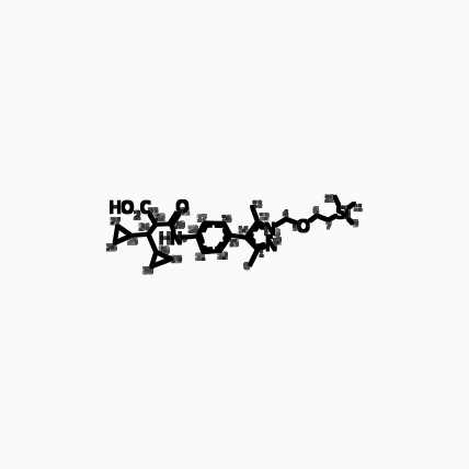 Cc1nn(COCC[Si](C)(C)C)c(C)c1-c1ccc(NC(=O)C(C(=O)O)C(C2CC2)C2CC2)cc1